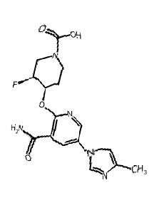 Cc1cn(-c2cnc(O[C@@H]3CCN(C(=O)O)C[C@@H]3F)c(C(N)=O)c2)cn1